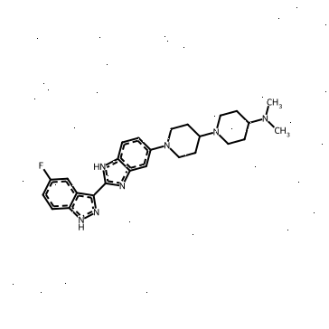 CN(C)C1CCN(C2CCN(c3ccc4[nH]c(-c5n[nH]c6ccc(F)cc56)nc4c3)CC2)CC1